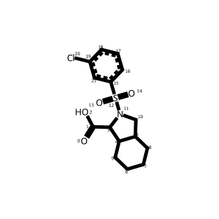 O=C(O)C1C2CCCCC2CN1S(=O)(=O)c1cccc(Cl)c1